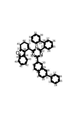 C1=C(c2nc(-c3ccc4ccc(-c5ccccc5)cc4c3)nc(-c3ccccc3-c3ccccc3)n2)c2c(oc3ccccc23)CC1